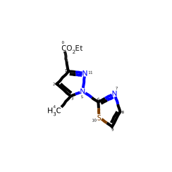 CCOC(=O)c1cc(C)n(-c2nccs2)n1